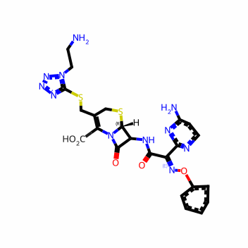 NCCn1nnnc1SCC1=C(C(=O)O)N2C(=O)C(NC(=O)/C(=N/Oc3ccccc3)c3nccc(N)n3)[C@H]2SC1